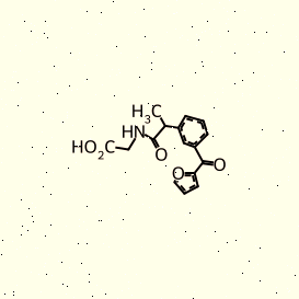 CC(C(=O)NCC(=O)O)c1cccc(C(=O)c2ccco2)c1